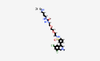 CN1Cc2c(Cl)cc(Cl)cc2C(c2cccc([S+]([O-])NCCOCCOCCNC(=O)NCCCCNC=O)c2)C1